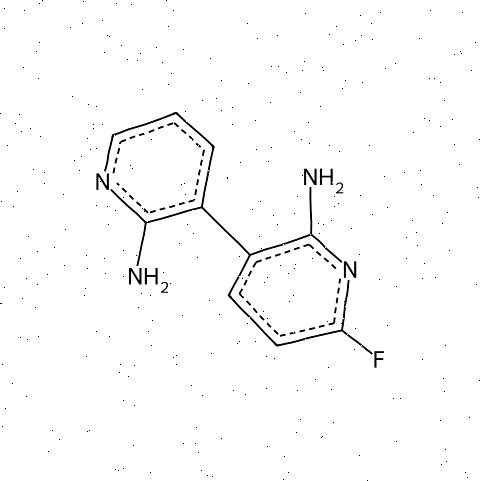 Nc1ncccc1-c1ccc(F)nc1N